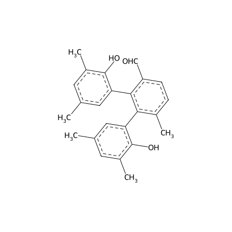 Cc1cc(C)c(O)c(-c2c(C)ccc(C=O)c2-c2cc(C)cc(C)c2O)c1